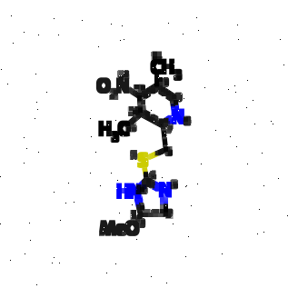 COc1cnc(SCc2ncc(C)c([N+](=O)[O-])c2C)[nH]1